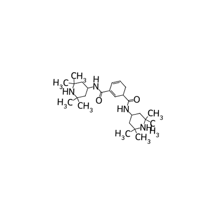 CC1(C)CC(NC(=O)C2=CC(C(=O)NC3CC(C)(C)NC(C)(C)C3)CC=C2)CC(C)(C)N1